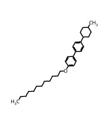 CCCCCCCCCCCCOc1ccc(-c2ccc(C3CCC(C)CC3)cc2)cc1